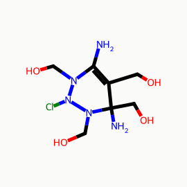 NC1=C(CO)C(N)(CO)N(CO)N(Cl)N1CO